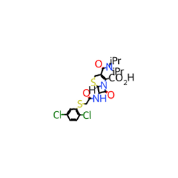 CC(C)N(C(=O)C1=C(C(=O)O)N2C(=O)C(NC(=O)CSc3cc(Cl)ccc3Cl)[C@H]2SC1)C(C)C